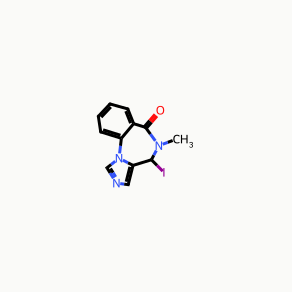 CN1C(=O)c2ccccc2-n2cncc2C1I